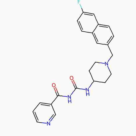 O=C(NC(=O)c1cccnc1)NC1CCN(Cc2ccc3cc(F)ccc3c2)CC1